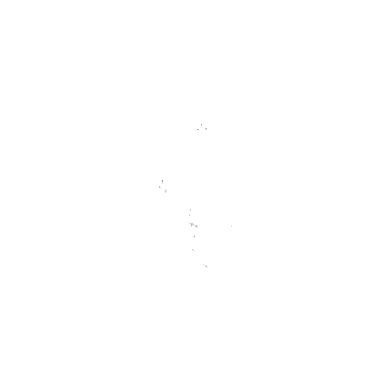 COc1ccc(CN2C3CC2CN(C)C3)nc1